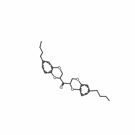 CCCCc1ccc2c(c1)OCC(C(=O)C1COc3cc(CCCC)ccc3O1)O2